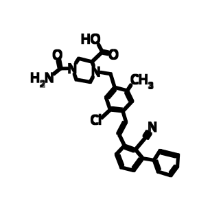 Cc1cc(/C=C/c2cccc(-c3ccccc3)c2C#N)c(Cl)cc1CN1CCN(C(N)=O)CC1C(=O)O